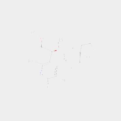 Cc1nc(C)c([C@H](OC(C)(C)C)C(=O)OC(C)C)c(N2CCC3(CCCO3)CC2)c1Br